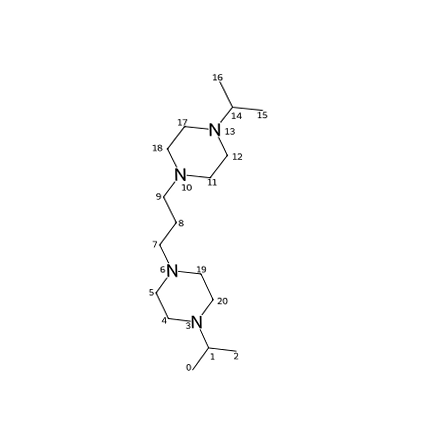 CC(C)N1CCN(CCCN2CCN(C(C)C)CC2)CC1